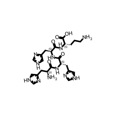 NCCC[C@H](NC(=O)[C@H](Cc1c[nH]cn1)NC(=O)[C@H](Cc1c[nH]cn1)NC(=O)[C@@H](N)Cc1c[nH]cn1)C(=O)O